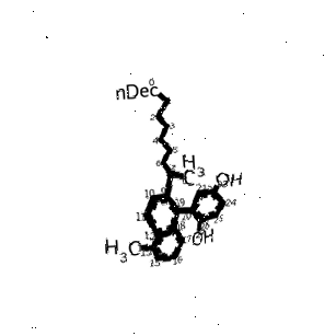 CCCCCCCCCCCCCCCCC(C)c1ccc2c(C)cccc2c1-c1cc(O)ccc1O